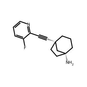 N[C@]12CCC[C@](C#Cc3ncccc3F)(CC1)C2